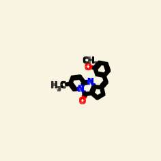 COc1cccc(/C=C2/CCc3c2nc2ccc(C)cn2c3=O)c1